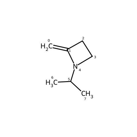 C=C1CCN1C(C)C